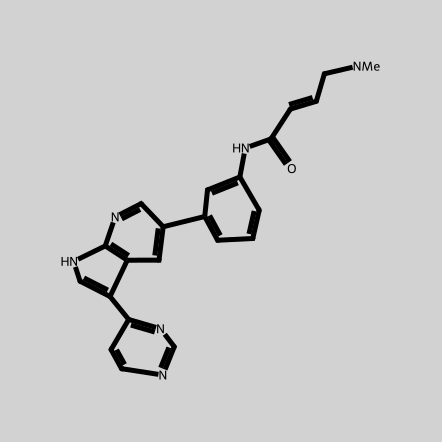 CNCC=CC(=O)Nc1cccc(-c2cnc3[nH]cc(-c4ccncn4)c3c2)c1